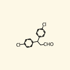 O=CCC(c1ccc(Cl)cc1)c1ccc(Cl)cc1